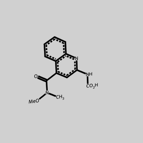 CON(C)C(=O)c1cc(NC(=O)O)nc2ccccc12